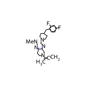 C=C=C(C)N1CCC(=N/CNC)/C(=N\CN2CCC(Cc3ccc(F)cc3F)CC2)C1